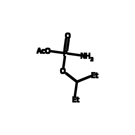 CCC(CC)OP(N)(=O)OC(C)=O